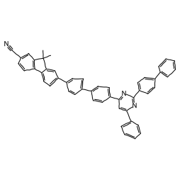 CC1(C)c2cc(C#N)ccc2-c2ccc(-c3ccc(-c4ccc(-c5cc(-c6ccccc6)nc(-c6ccc(-c7ccccc7)cc6)n5)cc4)cc3)cc21